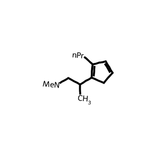 CCCC1=C(C(C)CNC)CC=C1